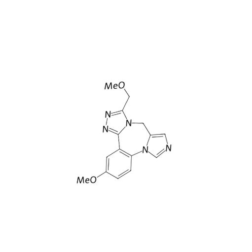 COCc1nnc2n1Cc1cncn1-c1ccc(OC)cc1-2